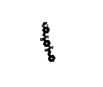 O=C(C=Cc1ccncc1)Nc1ccc(C(=O)NCc2cccc(OC(F)(F)F)c2)cc1